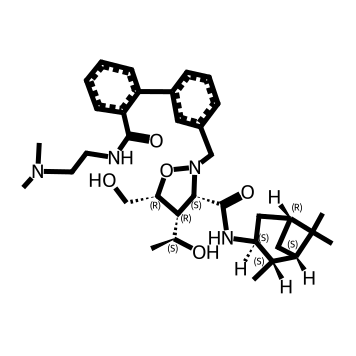 C[C@@H]1[C@@H](NC(=O)[C@@H]2[C@H]([C@H](C)O)[C@H](CO)ON2Cc2cccc(-c3ccccc3C(=O)NCCN(C)C)c2)C[C@H]2C[C@@H]1C2(C)C